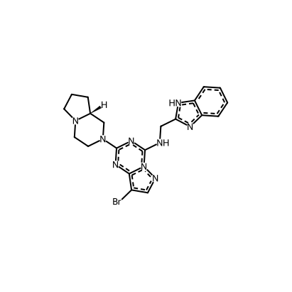 Brc1cnn2c(NCc3nc4ccccc4[nH]3)nc(N3CCN4CCC[C@@H]4C3)nc12